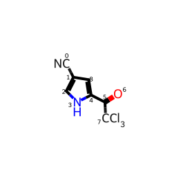 N#Cc1c[nH]c(C(=O)C(Cl)(Cl)Cl)c1